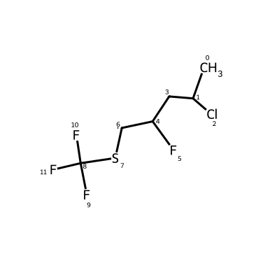 CC(Cl)CC(F)[CH]SC(F)(F)F